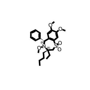 CCCC[C@]1(CC)CS(=O)(=O)c2cc(OC)c(OC)cc2[C@@H](c2ccccc2)N1OC